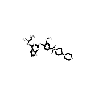 CC[C@H](C)Nc1nc(Nc2ccc(S(=O)(=O)N3CCC(N4CCOCC4)CC3)cc2OC)nc2[nH]ccc12